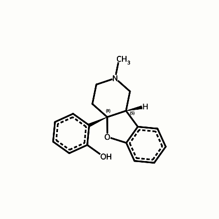 CN1CC[C@@]2(c3ccccc3O)Oc3ccccc3[C@H]2C1